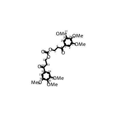 COc1cc(C(=O)CCOC(=O)OCCC(=O)c2cc(OC)c(OC)c(OC)c2)cc(OC)c1OC